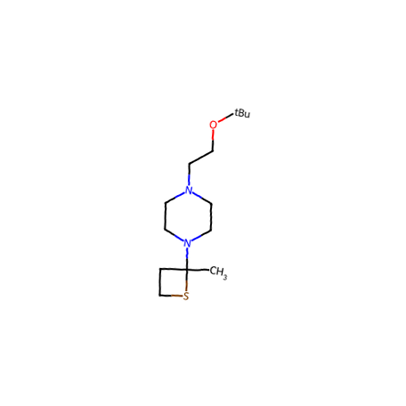 CC(C)(C)OCCN1CCN(C2(C)CCS2)CC1